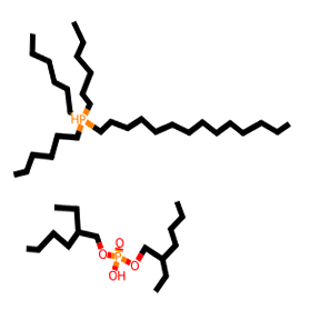 CCCCC(CC)COP(=O)(O)OCC(CC)CCCC.CCCCCCCCCCCCCC[PH](CCCCCC)(CCCCCC)CCCCCC